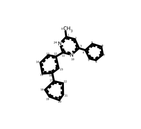 Cc1cc(-c2ccccc2)nc(-c2cccc(-c3ccccc3)c2)n1